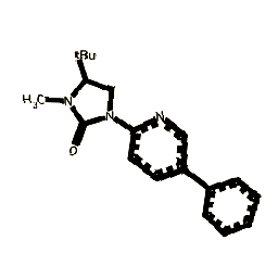 CN1C(=O)N(c2ccc(-c3ccccc3)cn2)CC1C(C)(C)C